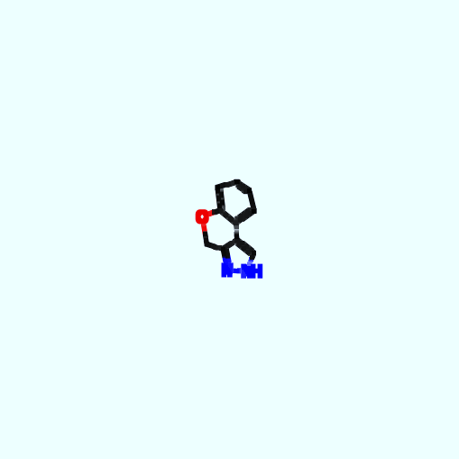 c1ccc2c(c1)OCc1n[nH]cc1-2